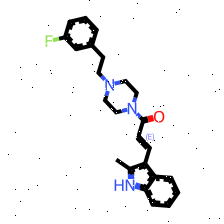 Cc1[nH]c2ccccc2c1/C=C/C(=O)N1CCN(CCc2cccc(F)c2)CC1